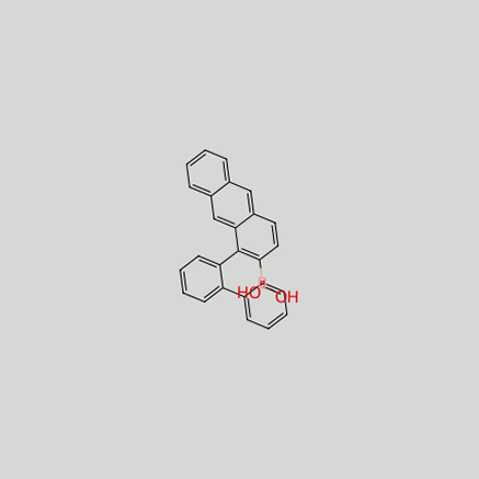 OB(O)c1ccc2cc3ccccc3cc2c1-c1ccccc1-c1ccccc1